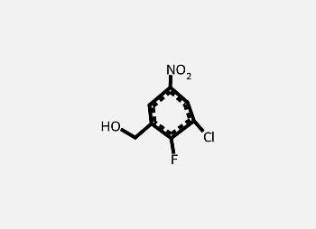 O=[N+]([O-])c1cc(Cl)c(F)c(CO)c1